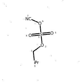 CC(C)COS(=O)(=O)OC#N